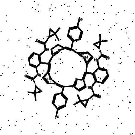 CC(=O)c1ccc(-c2c3nc(c(-c4c(NC(=O)[C@H]5CC5(C)C)cccc4NC(=O)[C@@H]4CC4(C)C)c4ccc([nH]4)c(-c4ccc(C(C)=O)cc4)c4nc(c(-c5c(NC(=O)[C@H]6CC6(C)C)cccc5NC(=O)[C@@H]5CC5(C)C)c5ccc2[nH]5)CC4)C=C3)cc1